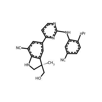 CCCc1ccc(C#N)cc1Nc1nccc(-c2cc(C#N)c3c(c2)[C@@](C)(CO)CN3)n1